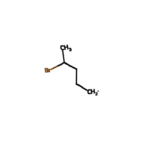 [CH2]CCC(C)Br